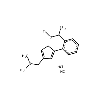 CC([O][Ti])c1ccccc1C1=CC(CN(C)C)=CC1.Cl.Cl